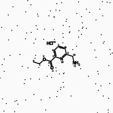 CCOC(=O)c1cccc(CN)n1.Cl